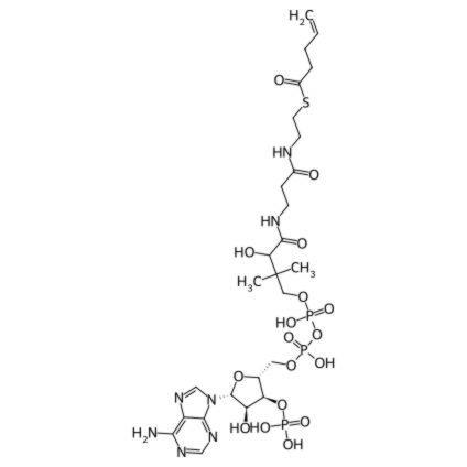 C=CCCC(=O)SCCNC(=O)CCNC(=O)C(O)C(C)(C)COP(=O)(O)OP(=O)(O)OC[C@H]1O[C@@H](n2cnc3c(N)ncnc32)[C@H](O)[C@@H]1OP(=O)(O)O